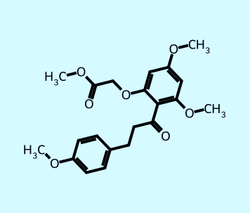 COC(=O)COc1cc(OC)cc(OC)c1C(=O)CCc1ccc(OC)cc1